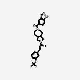 O=C(/C=C/c1cccc(OC(F)(F)F)c1)N1CC2CCN(C(=O)c3ccc4[nH]nnc4c3)CCC2C1